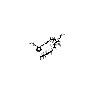 CCC(C)(CC(C)(CC(C)(C)C(=O)OCC(F)(F)C(F)(F)C(F)(F)C(F)(F)C(F)(F)C(F)F)C(=O)OCCO)C(=O)OCCOCOc1ccccc1SOOO